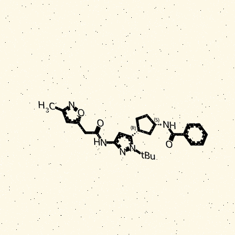 Cc1cc(CC(=O)Nc2cc([C@@H]3CC[C@H](NC(=O)c4ccccc4)C3)n(C(C)(C)C)n2)on1